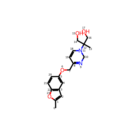 Cc1cc2cc(OCC3=NCN(C(C)(CO)CO)C=C3)ccc2o1